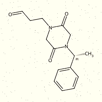 C[C@H](c1ccccc1)N1CC(=O)N(CCC=O)CC1=O